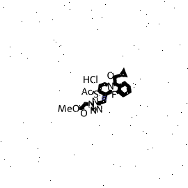 COC(=O)Cn1nnc(/C=C2/CN(C(C(=O)C3CC3)c3ccccc3F)CCC2SC(C)=O)n1.Cl